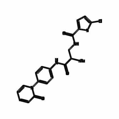 CCCCC(CNC(=O)c1ccc(Cl)s1)C(=O)Nc1ccc(-n2ccccc2=O)cc1